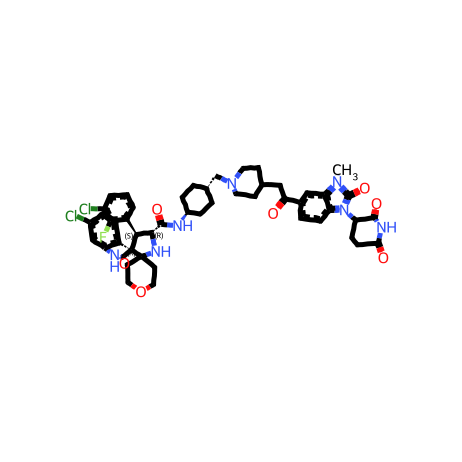 Cn1c(=O)n(C2CCC(=O)NC2=O)c2ccc(C(=O)CC3CCN(C[C@H]4CC[C@H](NC(=O)[C@@H]5NC6(CCOCC6)[C@@]6(C(=O)Nc7cc(Cl)ccc76)[C@H]5c5cccc(Cl)c5F)CC4)CC3)cc21